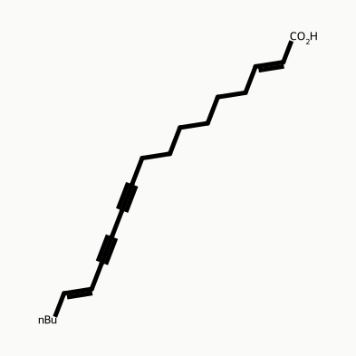 CCCCC=CC#CC#CCCCCCCC=CC(=O)O